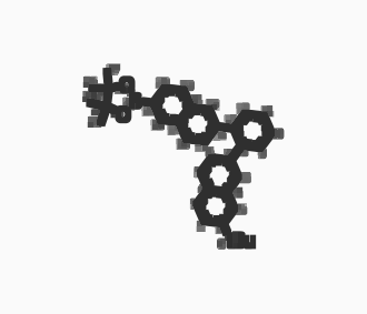 CC(C)(C)c1ccc2ccc(-c3ccccc3-c3ccc4cc(B5OC(C)(C)C(C)(C)O5)ccc4c3)cc2c1